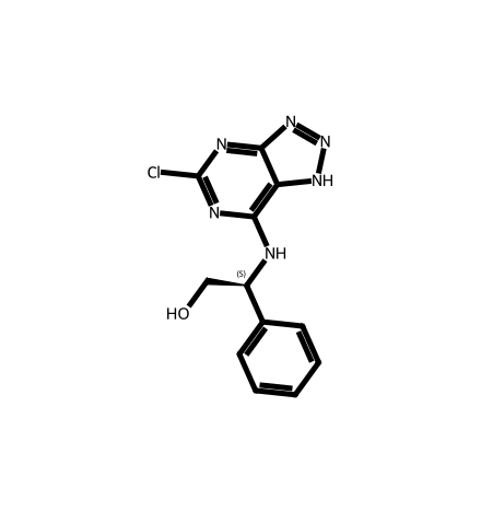 OC[C@@H](Nc1nc(Cl)nc2nn[nH]c12)c1ccccc1